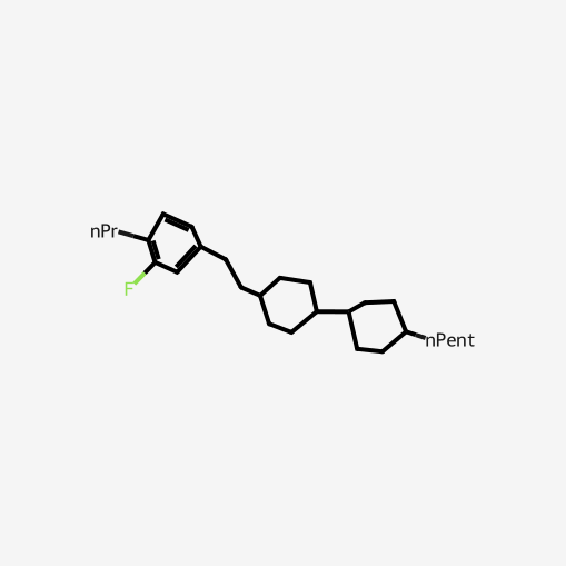 CCCCCC1CCC(C2CCC(CCc3ccc(CCC)c(F)c3)CC2)CC1